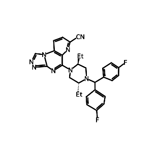 CC[C@H]1CN(C(c2ccc(F)cc2)c2ccc(F)cc2)[C@H](CC)CN1c1nc2nncn2c2ccc(C#N)nc12